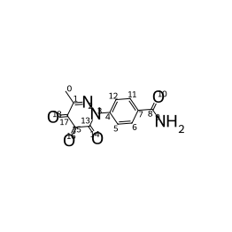 CC1=NN(c2ccc(C(N)=O)cc2)C(=O)C(=O)C1=O